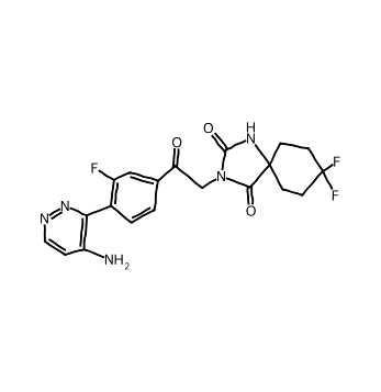 Nc1ccnnc1-c1ccc(C(=O)CN2C(=O)NC3(CCC(F)(F)CC3)C2=O)cc1F